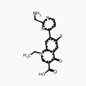 CCn1cc(C(=O)O)c(=O)c2cc(F)c(-c3ccnc(CN)n3)cc21